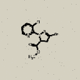 COC(=O)C1CC(Br)=NN1c1ncccc1Cl